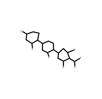 FC(F)C1C(F)CC(C2CCC(C3CCC(Cl)CC3F)CC2F)CC1F